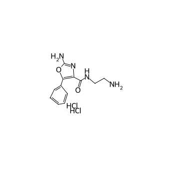 Cl.Cl.NCCNC(=O)c1nc(N)oc1-c1ccccc1